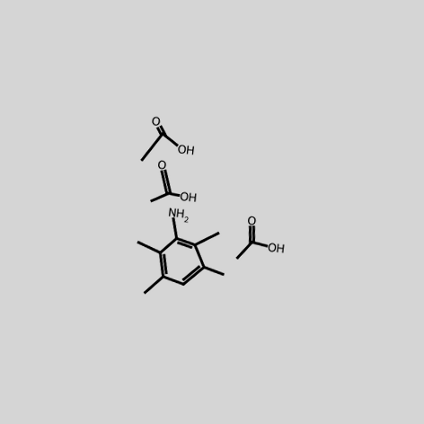 CC(=O)O.CC(=O)O.CC(=O)O.Cc1cc(C)c(C)c(N)c1C